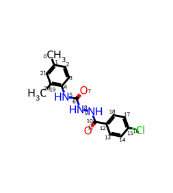 Cc1ccc(NC(=O)NNC(=O)c2ccc(Cl)cc2)c(C)c1